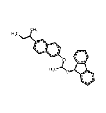 CCC(C)c1ccc2cc(OC(C)OC3c4ccccc4-c4ccccc43)ccc2c1